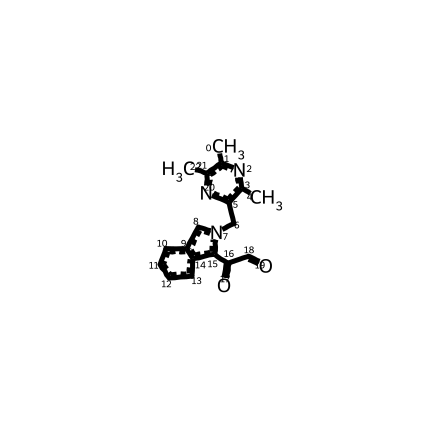 Cc1nc(C)c(Cn2cc3ccccc3c2C(=O)C=O)nc1C